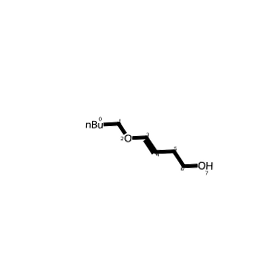 CCCCCOC=CCCO